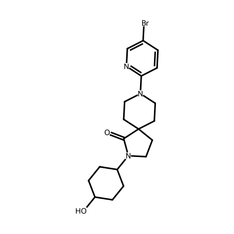 O=C1N(C2CCC(O)CC2)CCC12CCN(c1ccc(Br)cn1)CC2